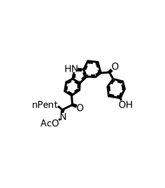 CCCCC/C(=N\OC(C)=O)C(=O)c1ccc2[nH]c3ccc(C(=O)c4ccc(O)cc4)cc3c2c1